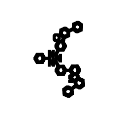 c1ccc(-c2ccc3oc4cc(-c5nc(-c6ccccc6)nc(-c6cccc(-c7cccc8c7sc7c(-c9ccccc9)cccc78)c6)n5)ccc4c3c2)cc1